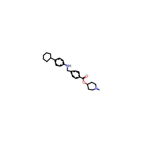 CN1CCC(OC(=O)c2ccc(CNc3ccc(C4CCCCC4)cc3)cc2)CC1